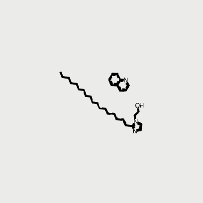 CCCCCCCCCCCCCCCCCCc1nccn1CCO.c1ccc2ncccc2c1